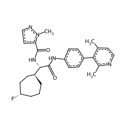 Cc1ccnc(C)c1-c1ccc(NC(=O)[C@@H](NC(=O)c2ccnn2C)[C@H]2CCC[C@H](F)CC2)cc1